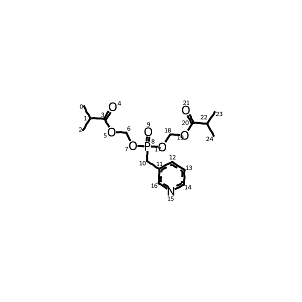 CC(C)C(=O)OCOP(=O)(Cc1cccnc1)OCOC(=O)C(C)C